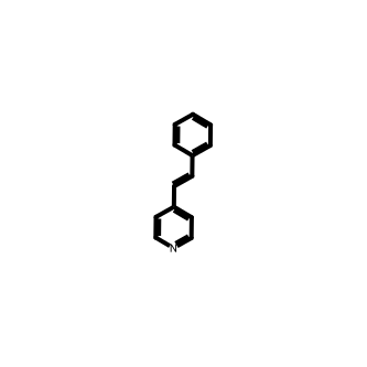 C(=Cc1ccncc1)c1ccccc1